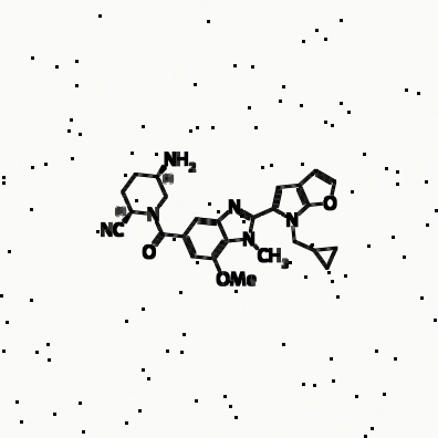 COc1cc(C(=O)N2C[C@H](N)CC[C@@H]2C#N)cc2nc(-c3cc4ccoc4n3CC3CC3)n(C)c12